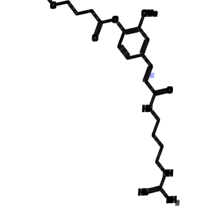 COc1cc(/C=C/C(=O)NCCCCNC(=N)N)ccc1OC(=O)CCCO[N+](=O)[O-]